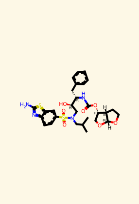 CC(C)CN(C[C@@H](O)[C@H](Cc1ccccc1)NC(=O)O[C@H]1CO[C@H]2OCC[C@H]21)S(=O)(=O)c1ccc2nc(N)sc2c1